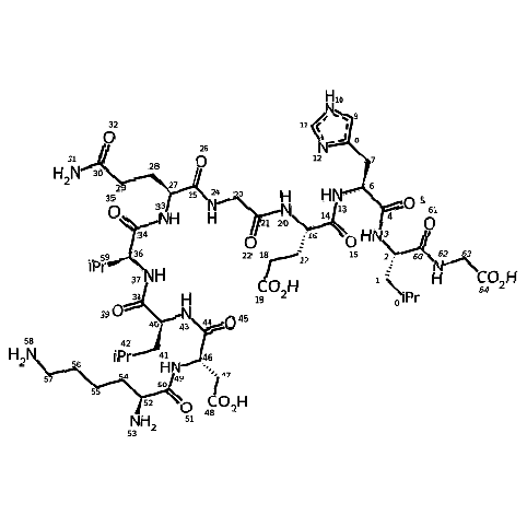 CC(C)C[C@H](NC(=O)[C@H](Cc1c[nH]cn1)NC(=O)[C@H](CCC(=O)O)NC(=O)CNC(=O)[C@H](CCC(N)=O)NC(=O)[C@@H](NC(=O)[C@H](CC(C)C)NC(=O)[C@H](CC(=O)O)NC(=O)[C@@H](N)CCCCN)C(C)C)C(=O)NCC(=O)O